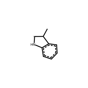 CC1[C]Nc2ccccc21